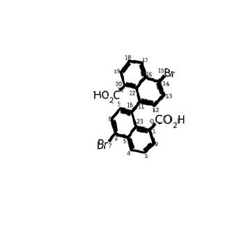 O=C(O)c1cccc2c(Br)ccc(-c3ccc(Br)c4cccc(C(=O)O)c34)c12